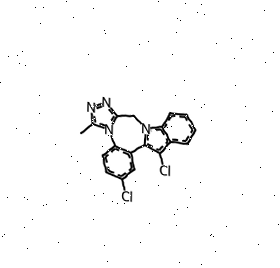 Cc1nnc2n1-c1ccc(Cl)cc1-c1c(Cl)c3ccccc3n1C2